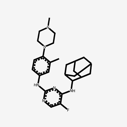 Cc1cc(Nc2ncc(F)c(NC3C4CC5CC(C4)CC3C5)n2)ccc1N1CCN(C)CC1